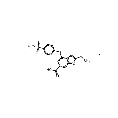 CCc1cc2c(Oc3ccc(S(C)(=O)=O)cc3)cc(C(=O)O)cc2o1